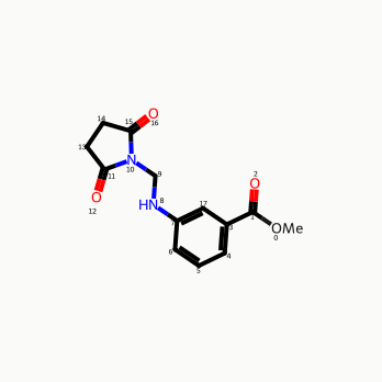 COC(=O)c1cccc(NCN2C(=O)CCC2=O)c1